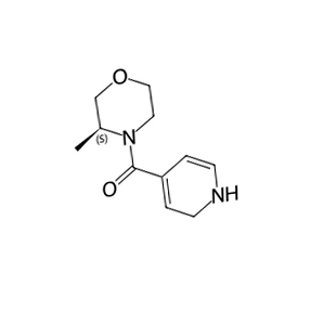 C[C@H]1COCCN1C(=O)C1=CCNC=C1